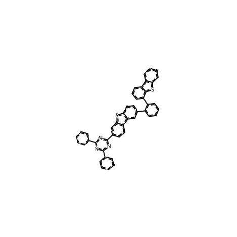 c1ccc(-c2nc(-c3ccccc3)nc(-c3ccc4c(c3)sc3ccc(-c5ccccc5-c5cccc6c5sc5ccccc56)cc34)n2)cc1